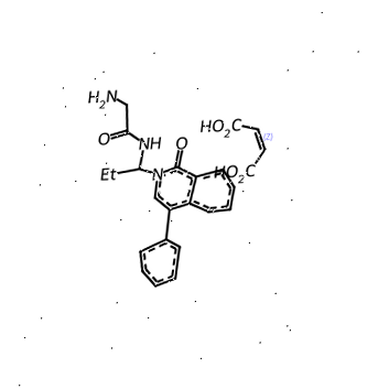 CCC(NC(=O)CN)n1cc(-c2ccccc2)c2ccccc2c1=O.O=C(O)/C=C\C(=O)O